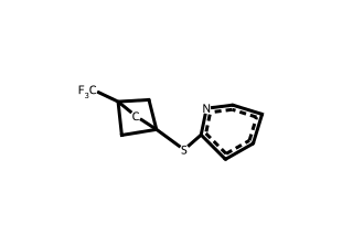 FC(F)(F)C12CC(Sc3ccccn3)(C1)C2